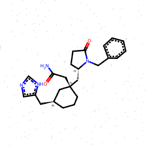 NC(=O)C[C@@]1(C[C@@H]2CCC(=O)N2Cc2ccccc2)CCC[C@@H](Cc2cnc[nH]2)C1